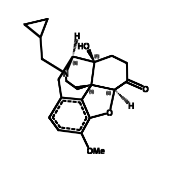 [CH2]Oc1ccc2c3c1O[C@@H]1C(=O)CC[C@@]4(O)[C@H](C2)N(CC2CC2)CC[C@]314